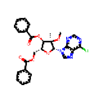 CO[C@]1(C)[C@H](OC(=O)c2ccccc2)[C@@H](COC(=O)c2ccccc2)O[C@H]1n1cnc2c(Cl)ncnc21